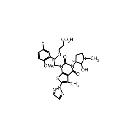 COc1ccc(F)cc1[C@H](Cn1c(=O)n([C@H]2CCN(C)C2O)c(=O)c2c(C)c(-n3nccn3)sc21)OCCC(=O)O